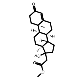 COC(=O)CC1(O)CC[C@H]2[C@@H]3CCC4=CC(=O)CC[C@]4(C)[C@@H]3CC[C@@]21C